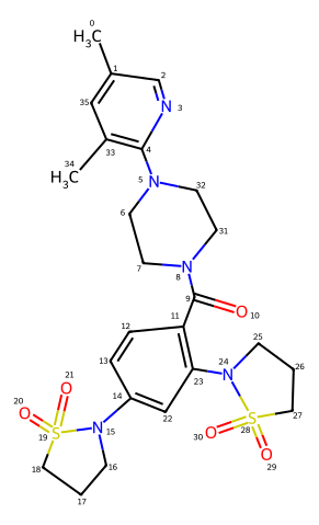 Cc1cnc(N2CCN(C(=O)c3ccc(N4CCCS4(=O)=O)cc3N3CCCS3(=O)=O)CC2)c(C)c1